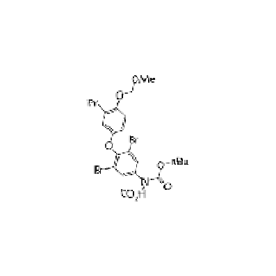 CCCCOC(=O)N(C(=O)O)c1cc(Br)c(Oc2ccc(OCOC)c(C(C)C)c2)c(Br)c1